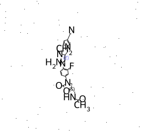 C=N/C(=C\N(N)c1ccc(N2C[C@H](CNC(C)=O)OC2=O)cc1F)Cn1ccc(C#N)c1